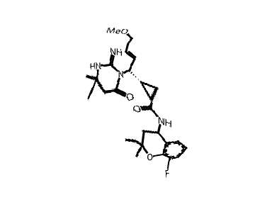 COC/C=C/C([C@@H]1C[C@H]1C(=O)NC1CC(C)(C)Oc2c(F)cccc21)N1C(=N)NC(C)(C)CC1=O